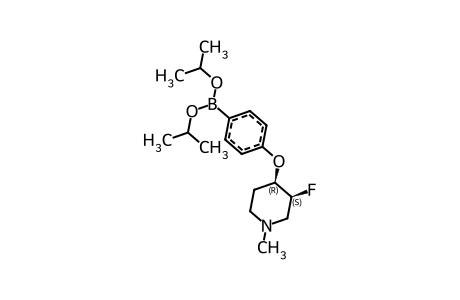 CC(C)OB(OC(C)C)c1ccc(O[C@@H]2CCN(C)C[C@@H]2F)cc1